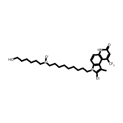 CCc1c(C)c2c3c(C(F)(F)F)cc(=O)[nH]c3ccc2n1CCCCCCCCC[S+]([O-])CCCCCCO